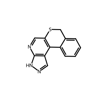 c1ccc2c(c1)CSc1cnc3[nH]ncc3c1-2